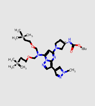 Cn1cc(-c2cnn3c(N(COCC[Si](C)(C)C)COCC[Si](C)(C)C)cc(N4CC[C@H](NC(=O)OC(C)(C)C)C4)nc23)cn1